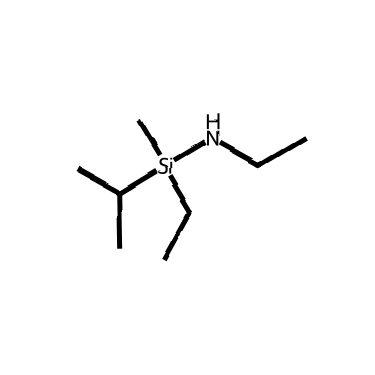 CCN[Si](C)(CC)C(C)C